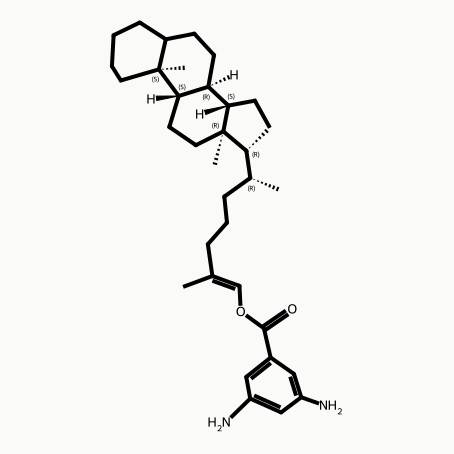 CC(=COC(=O)c1cc(N)cc(N)c1)CCC[C@@H](C)[C@H]1CC[C@H]2[C@@H]3CCC4CCCC[C@]4(C)[C@H]3CC[C@]12C